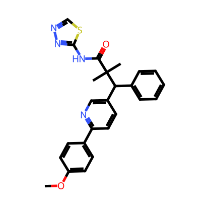 COc1ccc(-c2ccc(C(c3ccccc3)C(C)(C)C(=O)Nc3nncs3)cn2)cc1